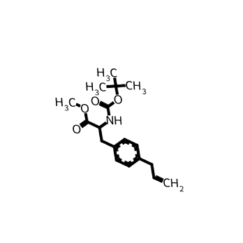 C=CCc1ccc(CC(NC(=O)OC(C)(C)C)C(=O)OC)cc1